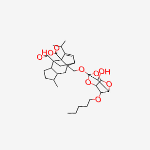 CCCCCOC1C2OC3(OCC45CC6C(C)CCC6C6(C=O)CC4C=C(C(C)C)C65C(=O)O)OC2OC1C3O